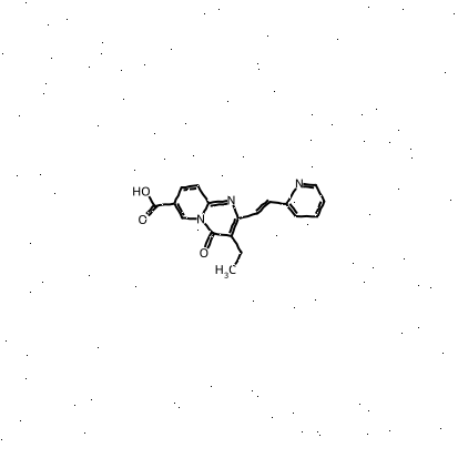 CCc1c(C=Cc2ccccn2)nc2ccc(C(=O)O)cn2c1=O